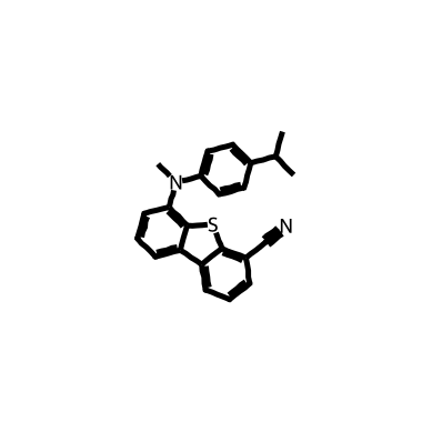 CC(C)c1ccc(N(C)c2cccc3c2sc2c(C#N)cccc23)cc1